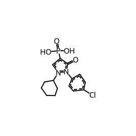 O=c1c(P(=O)(O)O)cn(C2CCCCC2)n1-c1ccc(Cl)cc1